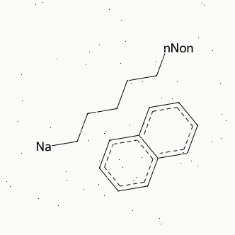 CCCCCCCCCCCCC[CH2][Na].c1ccc2ccccc2c1